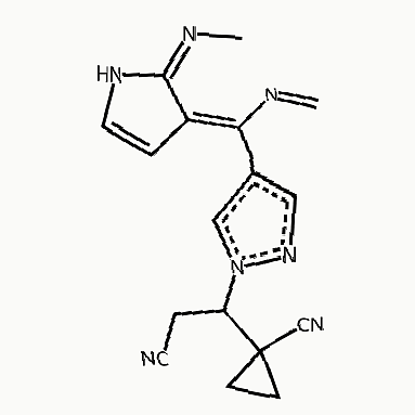 C=N/C(=C1/C=CN/C1=N/C)c1cnn(C(CC#N)C2(C#N)CC2)c1